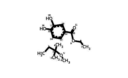 CCC(C)(C)OC.CCOC(=O)c1ccc(O)c(O)c1